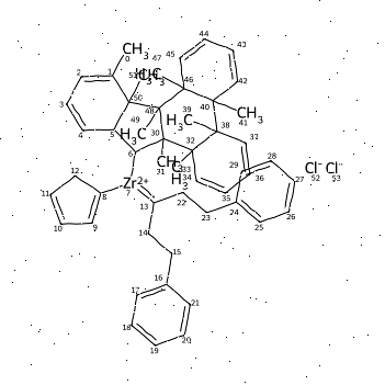 CC1=CC=CC2[CH]([Zr+2]([C]3=CC=CC3)=[C](CCc3ccccc3)CCc3ccccc3)C3(C)C4(C)C=CC=CC4(C)C4(C)C=CC=CC4(C)C3(C)C12C.[Cl-].[Cl-]